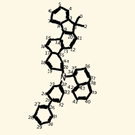 CC1(C)c2ccccc2-c2c1ccc1c2C=CC2C=CC(N(c3ccc(-c4ccccc4)cc3)c3cccc4ccccc34)=CC12